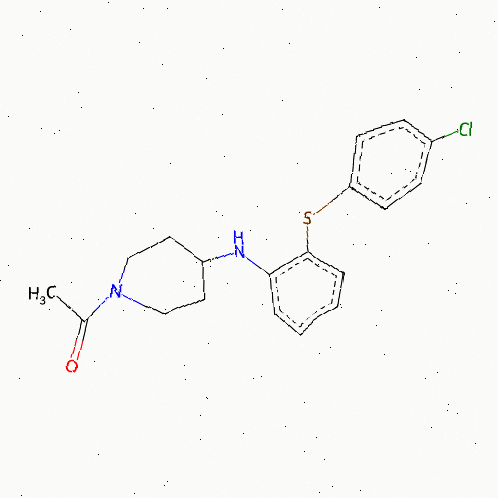 CC(=O)N1CCC(Nc2ccccc2Sc2ccc(Cl)cc2)CC1